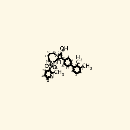 Cc1cccc(-c2ccc(C3[C@@H](CO)N4CCCCN(S(=O)(=O)c5ccc(F)nc5C)C[C@@H]34)cc2)c1C